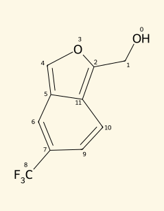 OCc1occ2cc(C(F)(F)F)ccc12